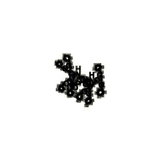 O=C(O)CCC(=O)N(CC(=O)NC(COC(COCc1ccccc1)COCc1ccccc1)COC(COCc1ccccc1)COCc1ccccc1)CC(=O)NC(COC(COCc1ccccc1)COCc1ccccc1)COC(COCc1ccccc1)COCc1ccccc1